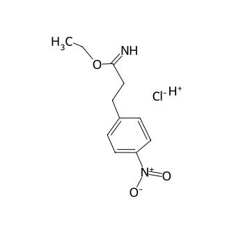 CCOC(=N)CCc1ccc([N+](=O)[O-])cc1.[Cl-].[H+]